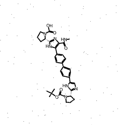 CNC(=O)c1nc([C@@H]2CCCN2C(=O)O)[nH]c1-c1ccc(-c2ccc(-c3cnc([C@@H]4CCCN4C(=O)OC(C)(C)C)[nH]3)cc2)cc1